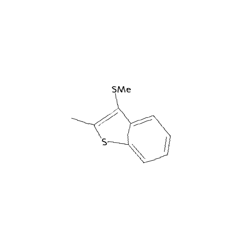 CSc1c(C)sc2ccccc12